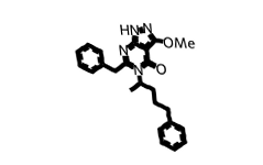 COc1n[nH]c2nc(Cc3ccccc3)n(C(C)CCCc3ccccc3)c(=O)c12